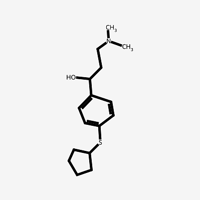 CN(C)CCC(O)c1ccc(SC2CCCC2)cc1